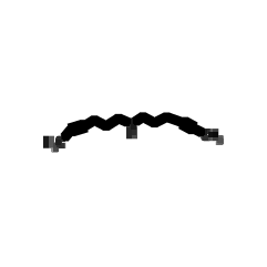 CC#CCCCNCCCC#CC